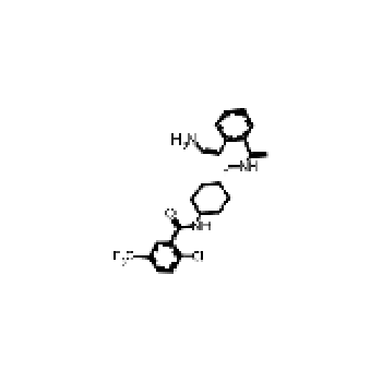 C=C(NC[C@H]1CC[C@H](NC(=O)c2cc(C(F)(F)F)ccc2Cl)CC1)c1ccccc1/C=C\N